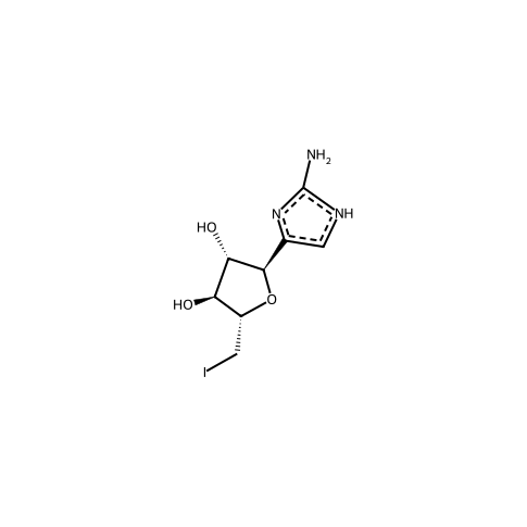 Nc1nc([C@H]2O[C@H](CI)[C@@H](O)[C@@H]2O)c[nH]1